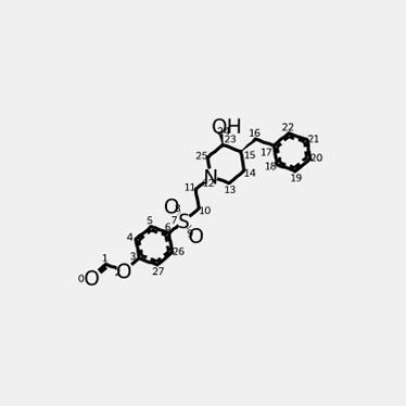 O=COc1ccc(S(=O)(=O)CCN2CC[C@H](Cc3ccccc3)[C@H](O)C2)cc1